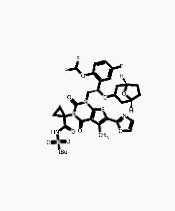 Cc1c(-c2ncco2)sc2c1c(=O)n(C1(C(=O)NS(=O)(=O)C(C)(C)C)CC1)c(=O)n2C[C@H](OC1C[C@H]2CC[C@@H](C1)O2)c1cc(F)ccc1OC(F)F